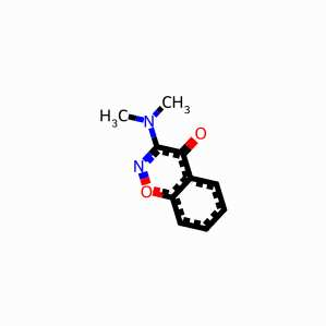 CN(C)c1noc2ccccc2c1=O